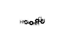 Clc1ncccc1-c1cccc(Nc2ccc(N3CCNCC3)cc2)n1